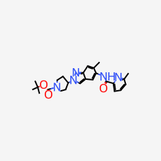 Cc1cccc(C(=O)Nc2cc3cn(C4CCN(C(=O)OC(C)(C)C)CC4)nc3cc2C)n1